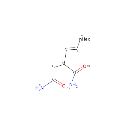 CCCCCCC=CC(CC(N)=O)C(N)=O